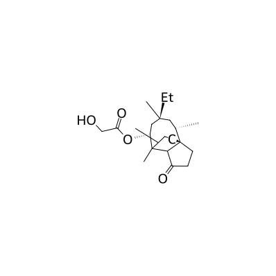 CC[C@]1(C)C[C@@H](OC(=O)CO)C2(C)C(C)CC[C@]3(CCC(=O)C23)[C@@H](C)C1